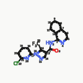 O=C(Nc1nccc2ccccc12)c1cnn(-c2cccc(Cl)n2)c1C(F)(F)F